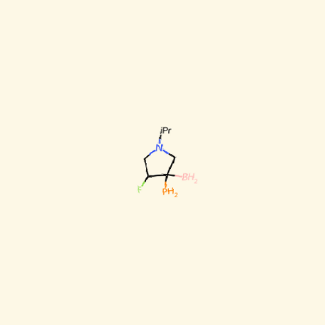 BC1(P)CN(C(C)C)CC1F